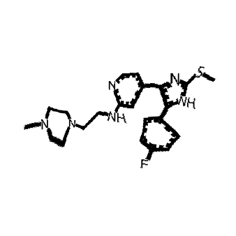 CSc1nc(-c2ccnc(NCCN3CCN(C)CC3)c2)c(-c2ccc(F)cc2)[nH]1